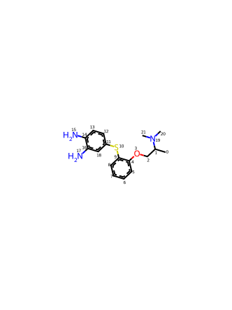 CC(COc1ccccc1Sc1ccc(N)c(N)c1)N(C)C